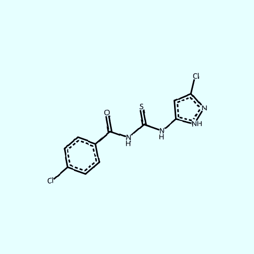 O=C(NC(=S)Nc1cc(Cl)n[nH]1)c1ccc(Cl)cc1